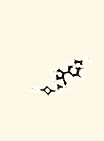 COC1CC(Nc2ncc3c(-c4cc(F)c5nc(C)cn5c4)c[nH]c3n2)C1